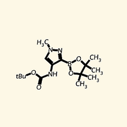 Cn1cc(NC(=O)OC(C)(C)C)c(B2OC(C)(C)C(C)(C)O2)n1